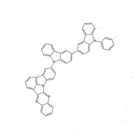 c1ccc(-n2c3ccccc3c3cc(-c4ccc5c(c4)c4ccccc4n5-c4ccc5c(c4)c4cccc6c7nc8ccccc8nc7n5c46)ccc32)cc1